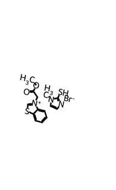 COC(=O)C[n+]1csc2ccccc21.Cn1ccnc1S.[Br-]